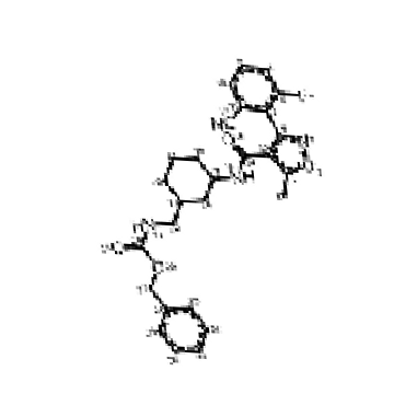 Cc1onc(-c2c(F)cccc2C#N)c1C(=O)NC1CCCC(CNC(=O)OCc2ccccc2)C1